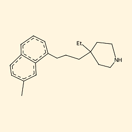 CCC1(CCCc2cccc3ccc(C)cc23)CCNCC1